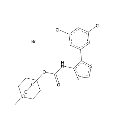 C[N+]12CCC(OC(=O)Nc3ncsc3-c3cc(Cl)cc(Cl)c3)(CC1)CC2.[Br-]